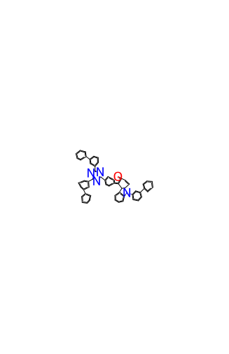 C1=CC2C(c3ccccc3N2c2cccc(-c3ccccc3)c2)c2c1oc1cc(-c3nc(-c4cccc(-c5ccccc5)c4)nc(-c4cccc(-c5ccccc5)c4)n3)ccc21